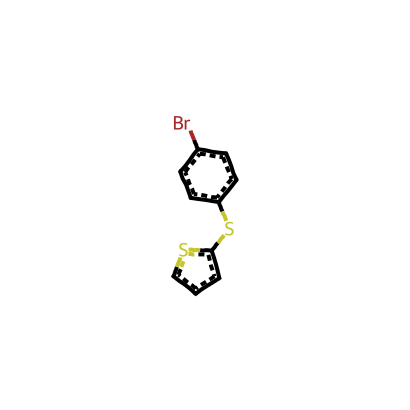 Brc1ccc(Sc2cccs2)cc1